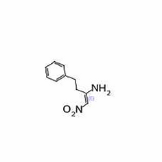 N/C(=C/[N+](=O)[O-])CCc1ccccc1